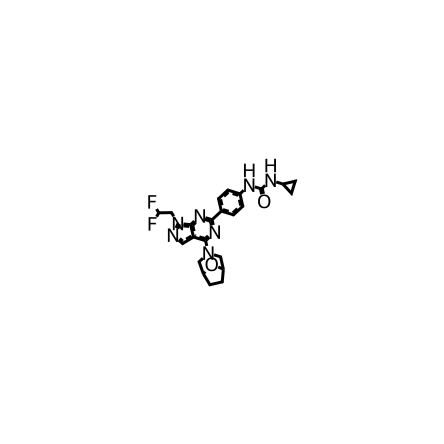 O=C(Nc1ccc(-c2nc(N3CC4CCC(C3)O4)c3cnn(CC(F)F)c3n2)cc1)NC1CC1